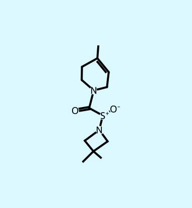 CC1=CCN(C(=O)[S+]([O-])N2CC(C)(C)C2)CC1